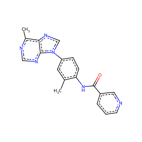 Cc1cc(-n2cnc3c(C)ncnc32)ccc1NC(=O)c1cccnc1